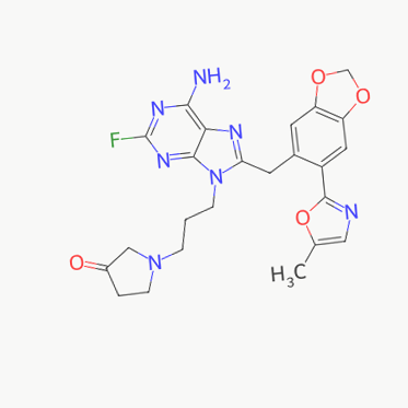 Cc1cnc(-c2cc3c(cc2Cc2nc4c(N)nc(F)nc4n2CCCN2CCC(=O)C2)OCO3)o1